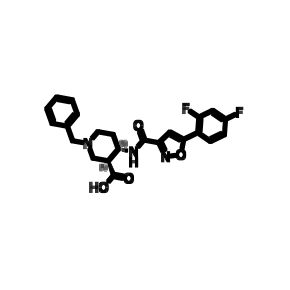 O=C(N[C@H]1CCN(Cc2ccccc2)C[C@@H]1C(=O)O)c1cc(-c2ccc(F)cc2F)on1